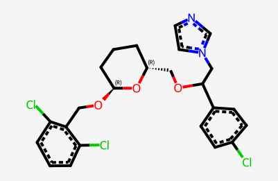 Clc1ccc(C(Cn2ccnc2)OC[C@H]2CCC[C@H](OCc3c(Cl)cccc3Cl)O2)cc1